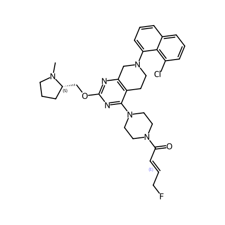 CN1CCC[C@H]1COc1nc2c(c(N3CCN(C(=O)/C=C/CF)CC3)n1)CCN(c1cccc3cccc(Cl)c13)C2